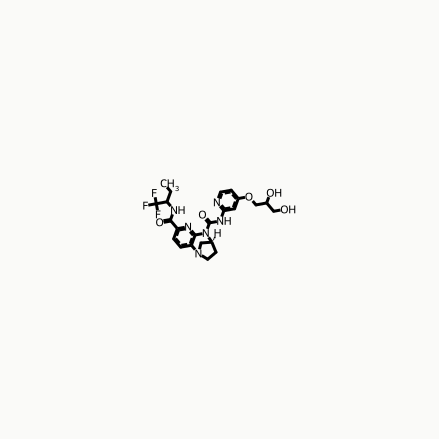 CCC(NC(=O)c1ccc2c(n1)N(C(=O)Nc1cc(OCC(O)CO)ccn1)[C@H]1CCN2C1)C(F)(F)F